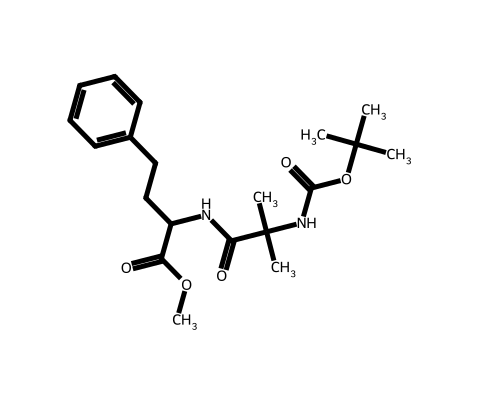 COC(=O)C(CCc1ccccc1)NC(=O)C(C)(C)NC(=O)OC(C)(C)C